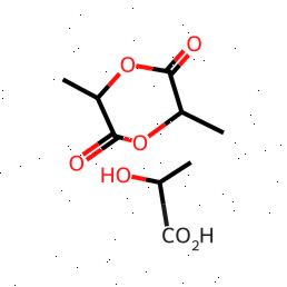 CC(O)C(=O)O.CC1OC(=O)C(C)OC1=O